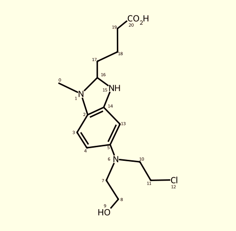 CN1c2ccc(N(CCO)CCCl)cc2NC1CCCC(=O)O